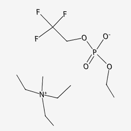 CCOP(=O)([O-])OCC(F)(F)F.CC[N+](C)(CC)CC